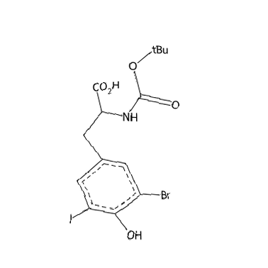 CC(C)(C)OC(=O)NC(Cc1cc(Br)c(O)c(I)c1)C(=O)O